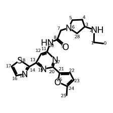 CCNC1CCN(CC(=O)Nc2cc(-c3nccs3)nc(-c3ccc(C)o3)n2)C1